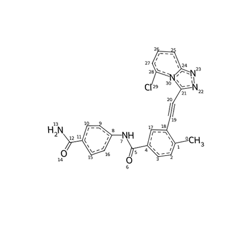 Cc1ccc(C(=O)Nc2ccc(C(N)=O)cc2)cc1C#Cc1nnc2cccc(Cl)n12